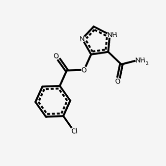 NC(=O)c1[nH]cnc1OC(=O)c1cccc(Cl)c1